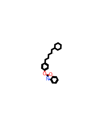 [CH](CCCc1ccc(Oc2nc3ccccc3o2)cc1)CC1CCCCC1